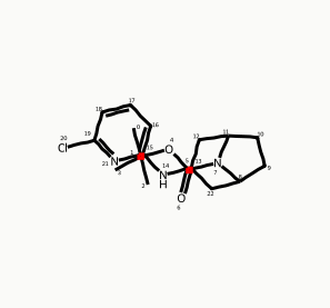 CC(C)(C)OC(=O)N1C2CCC1CC(Nc1cccc(Cl)n1)C2